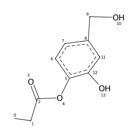 CCC(=O)Oc1ccc(CO)cc1O